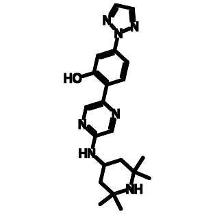 CC1(C)CC(Nc2cnc(-c3ccc(-n4nccn4)cc3O)cn2)CC(C)(C)N1